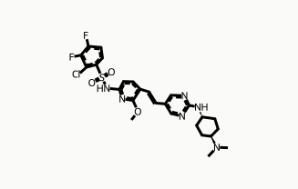 COc1nc(NS(=O)(=O)c2ccc(F)c(F)c2Cl)ccc1/C=C/c1cnc(N[C@H]2CC[C@H](N(C)C)CC2)nc1